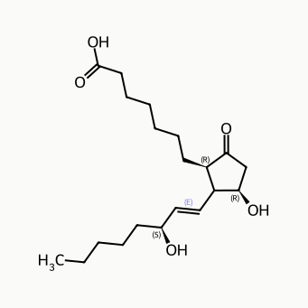 CCCCC[C@H](O)/C=C/C1[C@H](O)CC(=O)[C@@H]1CCCCCCC(=O)O